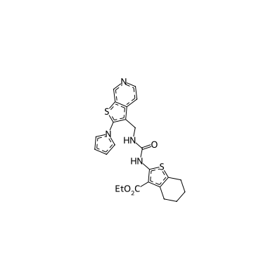 CCOC(=O)c1c(NC(=O)NCc2c(-n3cccc3)sc3cnccc23)sc2c1CCCC2